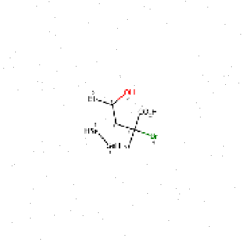 CCC(O)CC(C)(Br)C(=O)O.[SeH][SeH]